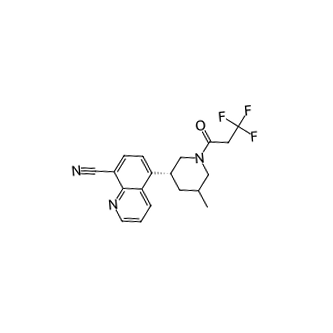 CC1C[C@H](c2ccc(C#N)c3ncccc23)CN(C(=O)CC(F)(F)F)C1